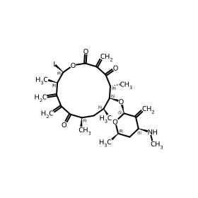 C=C1C(=C)[C@@H](C)[C@@H](I)OC(=O)C(=C)C(=O)[C@H](C)[C@@H](O[C@@H]2O[C@H](C)C[C@H](NC)C2=C)[C@@H](C)C[C@@H](C)C1=O